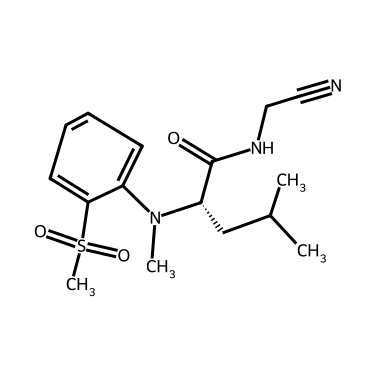 CC(C)C[C@@H](C(=O)NCC#N)N(C)c1ccccc1S(C)(=O)=O